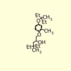 CCC(C)(CC)CC(O)COc1ccc(OC(C)(CC)CC)cc1C